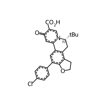 CC(C)(C)[C@@H]1Cc2c(cc(-c3ccc(Cl)cc3)c3c2CCO3)-c2cc(=O)c(C(=O)O)cn21